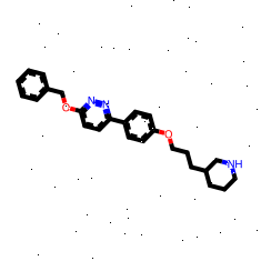 c1ccc(COc2ccc(-c3ccc(OCCCC4CCCNC4)cc3)nn2)cc1